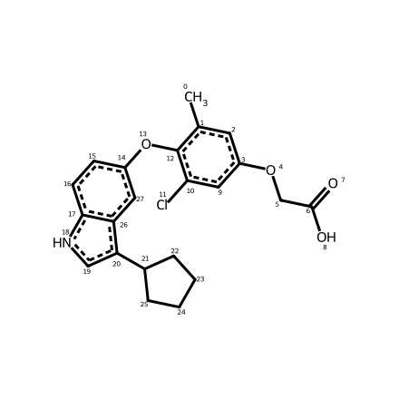 Cc1cc(OCC(=O)O)cc(Cl)c1Oc1ccc2[nH]cc(C3CCCC3)c2c1